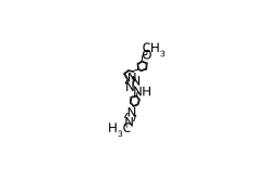 COCc1cccc(-c2ccc3cnc(Nc4ccc(N5CCN(C)CC5)cc4)nn23)c1